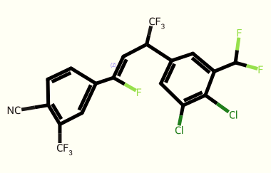 N#Cc1ccc(/C(F)=C/C(c2cc(Cl)c(Cl)c(C(F)F)c2)C(F)(F)F)cc1C(F)(F)F